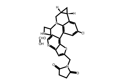 O=C1CCC(=O)N1Cc1cc2nccc(-c3cc(Cl)cc4c3N(C3CNC3)C[C@@H]3C[C@H]43)c2s1.O=CO